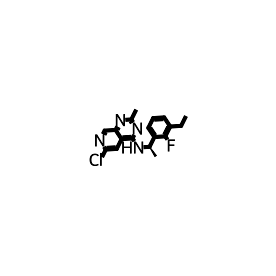 CCc1cccc([C@@H](C)Nc2nc(C)nc3cnc(Cl)cc23)c1F